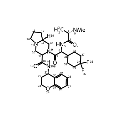 CN[C@@H](C)C(=O)N[C@H](C(=O)N1C[C@H]2CCCN2CC1C(=O)N[C@@H]1CCOc2ccccc21)C1CCC(F)(F)CC1